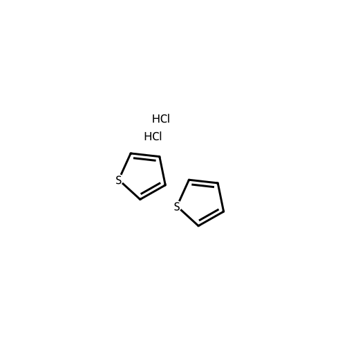 Cl.Cl.c1ccsc1.c1ccsc1